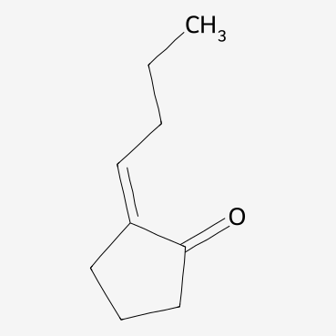 CCCC=C1CCCC1=O